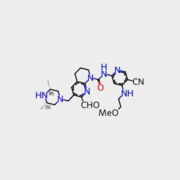 COCCNc1cc(NC(=O)N2CCCc3cc(CN4C[C@@H](C)N[C@@H](C)C4)c(C=O)nc32)ncc1C#N